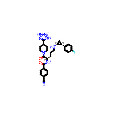 N#Cc1ccc(C(=O)N[C@H](CCCN[C@@H]2C[C@H]2c2ccc(F)cc2)C(=O)N2CCC(C3=NNNN3)CC2)cc1